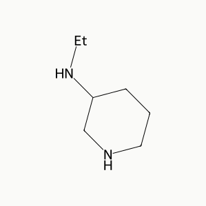 CCNC1CCCNC1